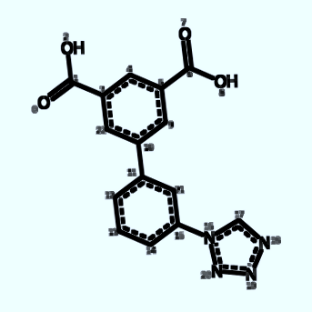 O=C(O)c1cc(C(=O)O)cc(-c2cccc(-n3cnnn3)c2)c1